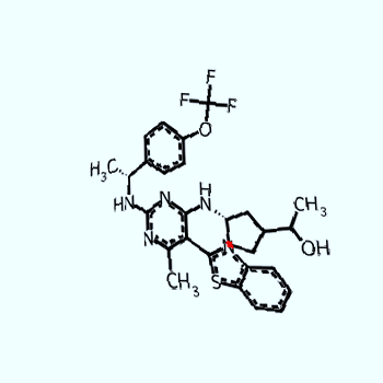 Cc1nc(N[C@H](C)c2ccc(OC(F)(F)F)cc2)nc(N[C@H]2CCC(C(C)O)C2)c1-c1nc2ccccc2s1